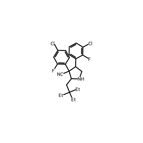 CCC(CC)(CC)CC1NCC(c2cccc(Cl)c2F)C1(C#N)c1ccc(Cl)cc1F